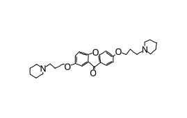 O=c1c2ccc(OCCCN3CCCCC3)cc2oc2ccc(OCCCN3CCCCC3)cc12